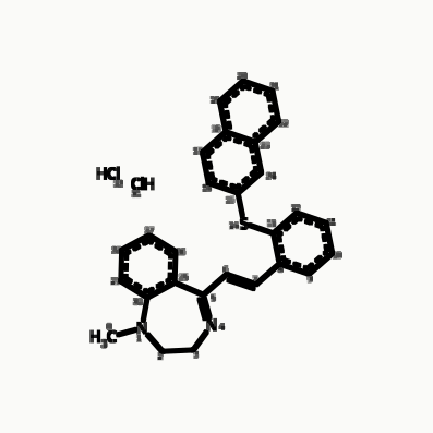 CN1CCN=C(C=Cc2ccccc2Sc2ccc3ccccc3c2)c2ccccc21.Cl.Cl